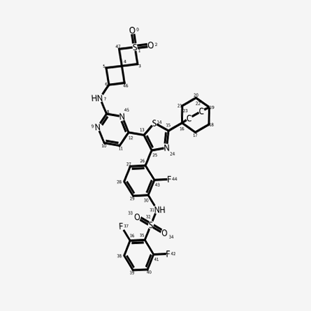 O=S1(=O)CC2(CC(Nc3nccc(-c4sc(C56CCC(CC5)CC6)nc4-c4cccc(NS(=O)(=O)c5c(F)cccc5F)c4F)n3)C2)C1